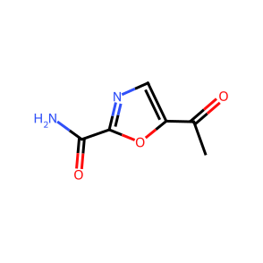 CC(=O)c1cnc(C(N)=O)o1